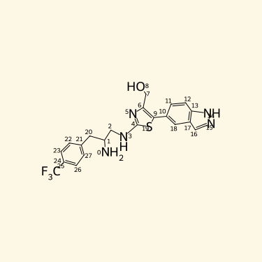 NC(CNc1nc(CO)c(-c2ccc3[nH]ncc3c2)s1)Cc1ccc(C(F)(F)F)cc1